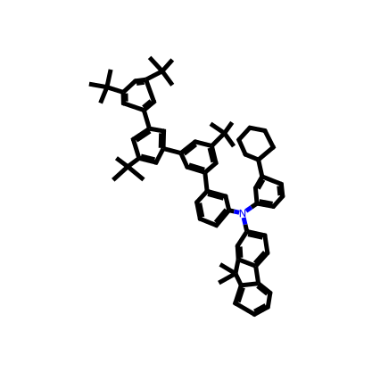 CC(C)(C)c1cc(-c2cccc(N(c3cccc(C4CCCCC4)c3)c3ccc4c(c3)C(C)(C)c3ccccc3-4)c2)cc(-c2cc(-c3cc(C(C)(C)C)cc(C(C)(C)C)c3)cc(C(C)(C)C)c2)c1